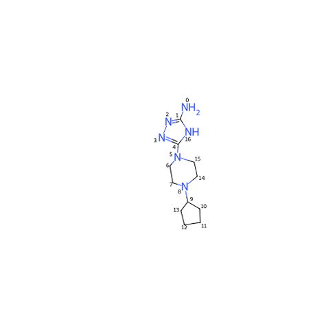 Nc1nnc(N2CCN(C3CCCC3)CC2)[nH]1